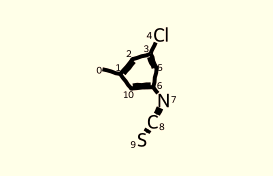 Cc1cc(Cl)cc(N=C=S)c1